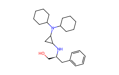 OC[C@H](Cc1ccccc1)NC1CC1N(C1CCCCC1)C1CCCCC1